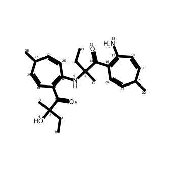 CCC(C)(O)C(=O)C1=C(NC(C)(CC)C(=O)C2=C(N)C=CC(C)C=C2)C=CC(C)C=C1